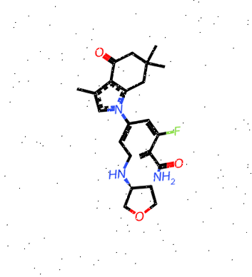 C=C(C(N)=O)/C(F)=C\C(=C/CN[C@H]1CCOC1)n1cc(C)c2c1CC(C)(C)CC2=O